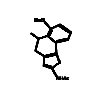 COc1cccc2c1C(C)Cc1cc(NC(C)=O)sc1-2